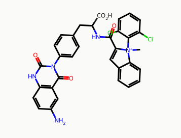 C[N+]1(c2c(Cl)cccc2Cl)C(C(=O)NC(Cc2ccc(-n3c(=O)[nH]c4ccc(N)cc4c3=O)cc2)C(=O)O)=Cc2ccccc21